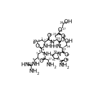 CC(C)C[C@H](NC(=O)[C@H](CCCNC(=N)N)NC(=O)CN)C(=O)N[C@@H](CC(=O)OCCO)C(=O)N[C@@H](CO)C(=O)N1CCC[C@H]1C(N)=O